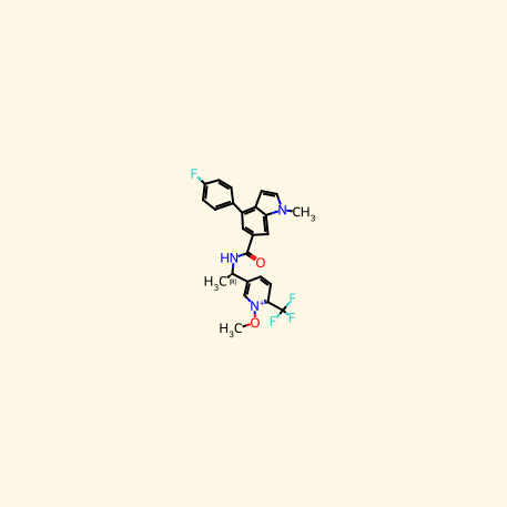 CO[n+]1cc([C@@H](C)NC(=O)c2cc(-c3ccc(F)cc3)c3ccn(C)c3c2)ccc1C(F)(F)F